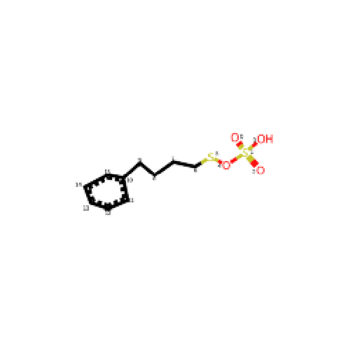 O=S(=O)(O)OSCCCCc1ccccc1